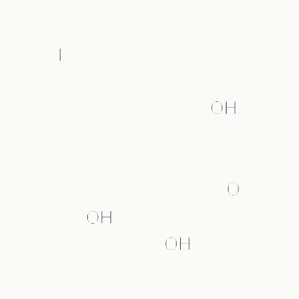 O=C(O)c1c(O)cc(I)cc1O